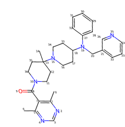 Cc1ncnc(C)c1C(=O)N1CCC(C)(N2CCC(N(Cc3cccnc3)c3ccccc3)CC2)CC1